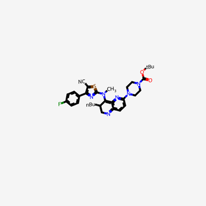 CCCCC1CN=c2ccc(N3CCN(C(=O)OC(C)(C)C)CC3)nc2=C1N(C)c1nc(-c2ccc(F)cc2)c(C#N)s1